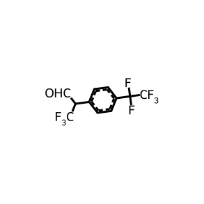 O=CC(c1ccc(C(F)(F)C(F)(F)F)cc1)C(F)(F)F